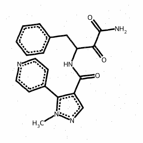 Cn1ncc(C(=O)NC(Cc2ccccc2)C(=O)C(N)=O)c1-c1ccncc1